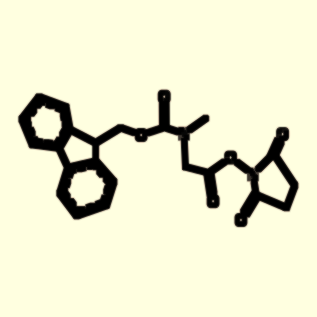 CN(CC(=O)ON1C(=O)CCC1=O)C(=O)OCC1c2ccccc2-c2ccccc21